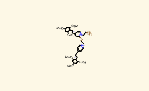 COc1cc(OC)c(/C=C/C2=CC(SCC[n+]3ccc(/C=C/c4c(OC)cc(OC)cc4OC)cc3)N(CCS)C=C2)c(OC)c1